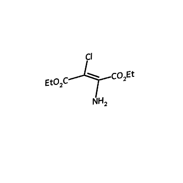 CCOC(=O)C(N)=C(Cl)C(=O)OCC